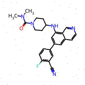 CN(C)C(=O)N1CCC(Nc2cc(-c3ccc(F)c(C#N)c3)cc3ccncc23)CC1